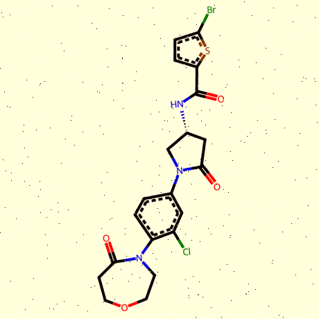 O=C(N[C@@H]1CC(=O)N(c2ccc(N3CCOCCC3=O)c(Cl)c2)C1)c1ccc(Br)s1